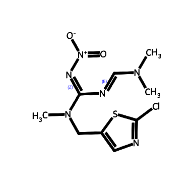 CN(C)/C=N/C(=N\[N+](=O)[O-])N(C)Cc1cnc(Cl)s1